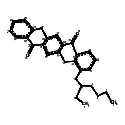 CCCCC(CC)Cc1cccc2c1Cc1cc3c(cc1C2=O)Cc1ccccc1C3=O